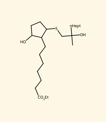 CCCCCCCC(C)(O)CSC1CCC(O)C1CCCCCCC(=O)OCC